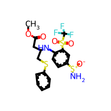 COC(=O)CC(CSc1ccccc1)Nc1ccc([S+](N)[O-])cc1S(=O)(=O)C(F)(F)F